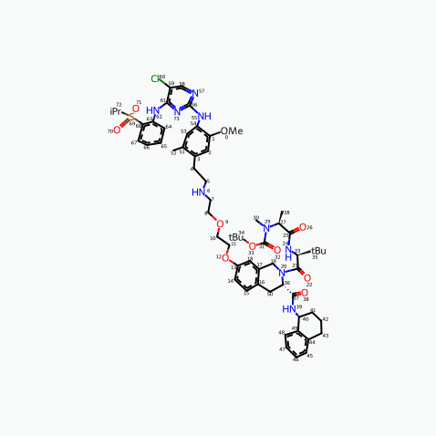 COc1cc(CCNCCOCCOc2ccc3c(c2)CN(C(=O)[C@@H](NC(=O)[C@H](C)N(C)C(=O)OC(C)(C)C)C(C)(C)C)[C@H](C(=O)N[C@H]2CCCc4ccccc42)C3)c(C)cc1Nc1ncc(Cl)c(Nc2ccccc2S(=O)(=O)C(C)C)n1